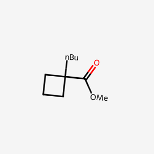 CCCCC1(C(=O)OC)CCC1